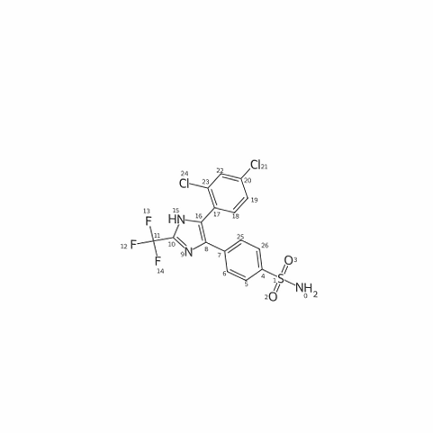 NS(=O)(=O)c1ccc(-c2nc(C(F)(F)F)[nH]c2-c2ccc(Cl)cc2Cl)cc1